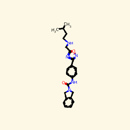 CC(C)CCNCc1nc(-c2ccc(NC(=O)N3Cc4ccccc4C3)cc2)no1